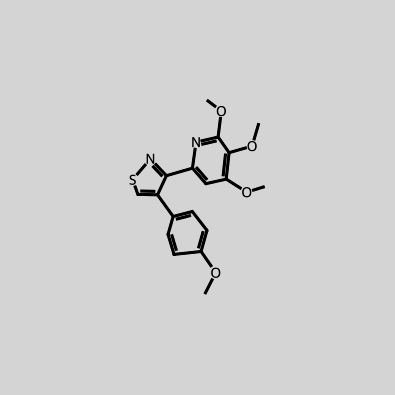 COc1ccc(-c2csnc2-c2cc(OC)c(OC)c(OC)n2)cc1